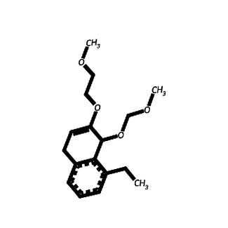 CCc1cccc2c1C(OCOC)C(OCCOC)=CC2